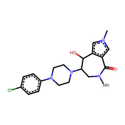 CCCN1CC(N2CCN(c3ccc(Cl)cc3)CC2)C(O)c2cn(C)cc2C1=O